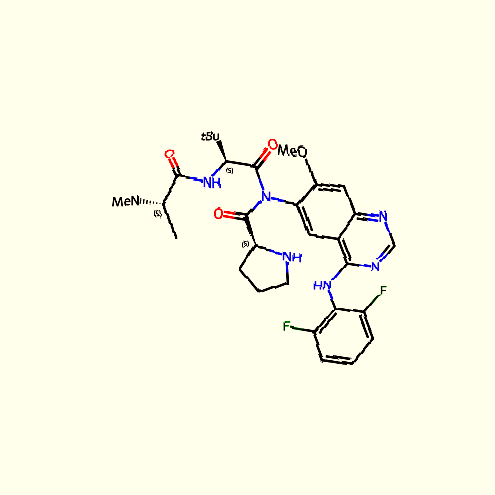 CN[C@@H](C)C(=O)N[C@H](C(=O)N(C(=O)[C@@H]1CCCN1)c1cc2c(Nc3c(F)cccc3F)ncnc2cc1OC)C(C)(C)C